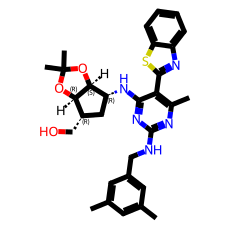 Cc1cc(C)cc(CNc2nc(C)c(-c3nc4ccccc4s3)c(N[C@@H]3C[C@H](CO)[C@H]4OC(C)(C)O[C@H]43)n2)c1